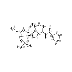 CC[C@H]1O[C@@](C#N)(c2ccc3c(NC(=O)c4ccccc4)ncnn23)[C@@H]2OC(C)(C)O[C@@H]21